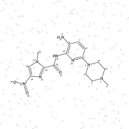 CN1CCN(c2ccc(N)c(NC(=O)c3nc([N+](=O)[O-])cn3C)n2)CC1